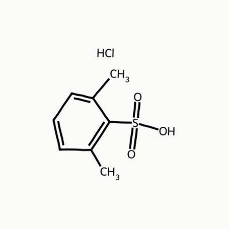 Cc1cccc(C)c1S(=O)(=O)O.Cl